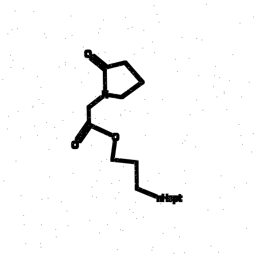 CCCCCCCCCCOC(=O)CN1CCCC1=O